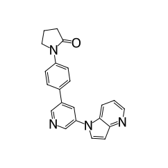 O=C1CCCN1c1ccc(-c2cncc(-n3ccc4ncccc43)c2)cc1